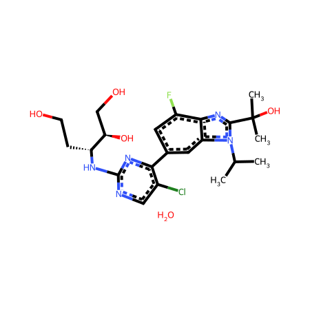 CC(C)n1c(C(C)(C)O)nc2c(F)cc(-c3nc(N[C@H](CCO)[C@H](O)CO)ncc3Cl)cc21.O